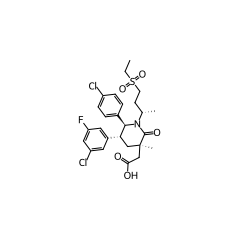 CCS(=O)(=O)CC[C@H](C)N1C(=O)[C@@](C)(CC(=O)O)C[C@H](c2cc(F)cc(Cl)c2)[C@H]1c1ccc(Cl)cc1